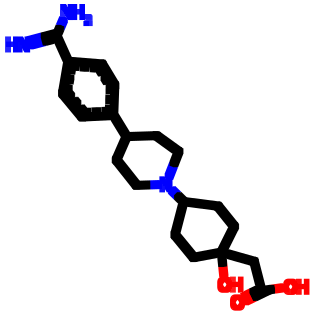 N=C(N)c1ccc(C2CCN(C3CCC(O)(CC(=O)O)CC3)CC2)cc1